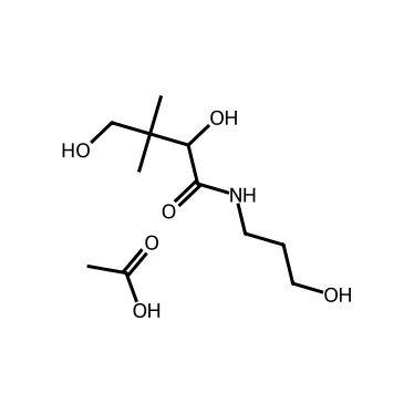 CC(=O)O.CC(C)(CO)C(O)C(=O)NCCCO